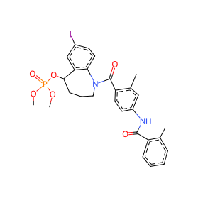 COP(=O)(OC)OC1CCCN(C(=O)c2ccc(NC(=O)c3ccccc3C)cc2C)c2ccc(I)cc21